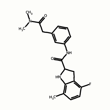 Cc1ccc(F)c2c1NC(C(=O)Nc1cccc(CC(=O)N(C)C)c1)C2